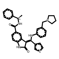 C[C@@H](NC(=O)c1ccc2c(c1)C(=C(Nc1cccc(CN3CCCC3)c1)c1ccsc1)C(=O)N2)c1ccccc1